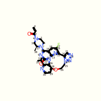 C=CC(=O)N1CCN(c2nc(=O)n3c4nc(c(F)cc24)-c2cnnn2CCOc2ccnc(C(C)C)c2-3)[C@@H](C)C1